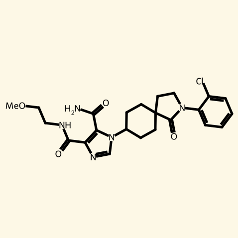 COCCNC(=O)c1ncn(C2CCC3(CC2)CCN(c2ccccc2Cl)C3=O)c1C(N)=O